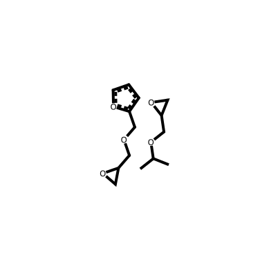 CC(C)OCC1CO1.c1coc(COCC2CO2)c1